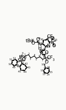 C[C@H](CCCCCC[C@@](OCc1ccccc1)(c1nnc(-c2nc(S(C)(=O)=O)c(C(F)(F)F)cc2NC(=O)OC(C)(C)C)o1)C(F)(F)F)O[Si](c1ccccc1)(c1ccccc1)C(C)(C)C